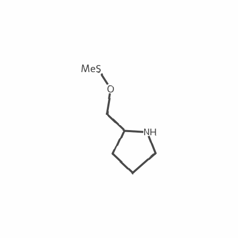 CSOCC1CCCN1